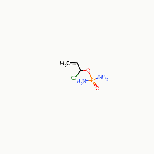 C=CC(Cl)OP(N)(N)=O